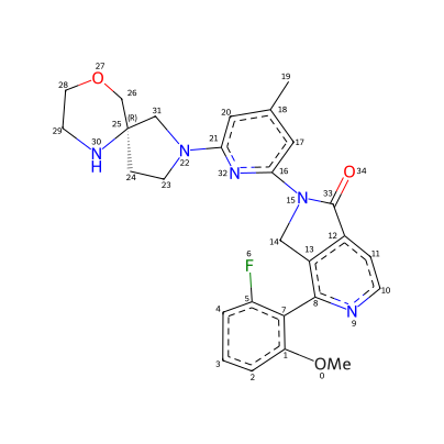 COc1cccc(F)c1-c1nccc2c1CN(c1cc(C)cc(N3CC[C@]4(COCCN4)C3)n1)C2=O